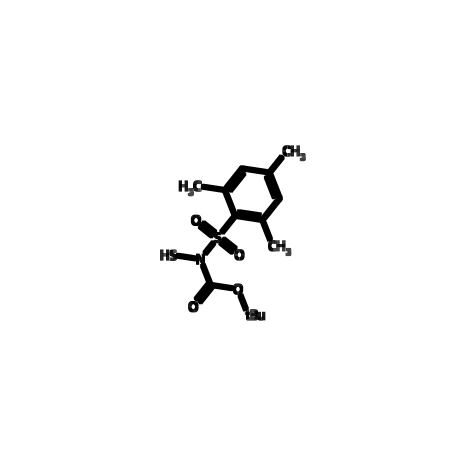 Cc1cc(C)c(S(=O)(=O)N(S)C(=O)OC(C)(C)C)c(C)c1